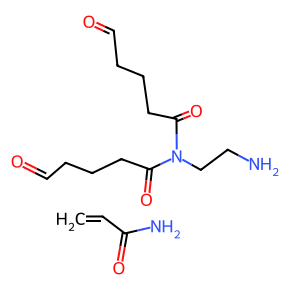 C=CC(N)=O.NCCN(C(=O)CCCC=O)C(=O)CCCC=O